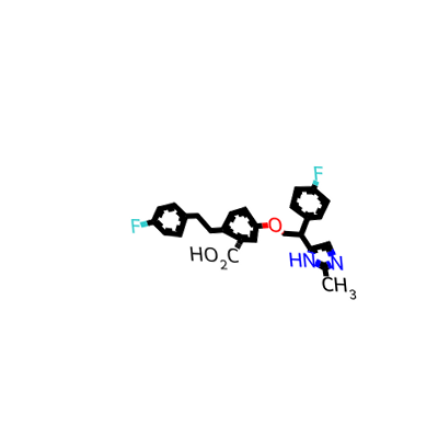 Cc1ncc(C(COc2ccc(CCc3ccc(F)cc3)c(C(=O)O)c2)c2ccc(F)cc2)[nH]1